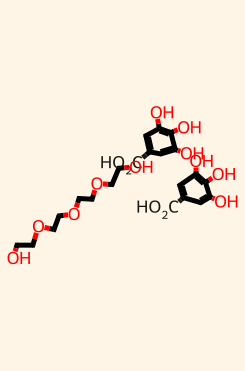 O=C(O)c1cc(O)c(O)c(O)c1.O=C(O)c1cc(O)c(O)c(O)c1.OCCOCCOCCOCCO